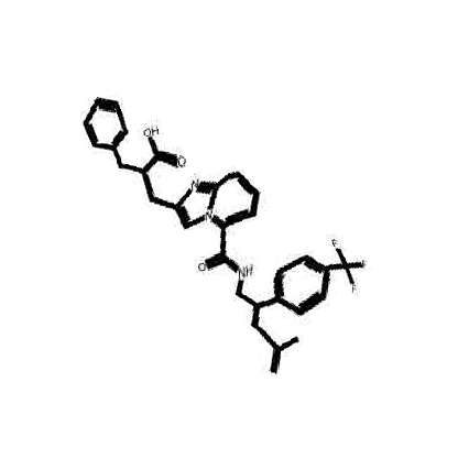 CC(C)CC(CNC(=O)c1cccc2nc(CC(Cc3ccccc3)C(=O)O)cn12)c1ccc(C(F)(F)F)cc1